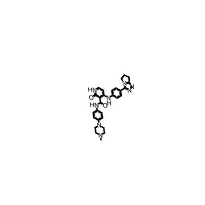 CN1CCN(c2ccc(NC(=O)c3c(Nc4ccc(-c5nnc6n5CCC6)cc4)cc[nH]c3=O)cc2)CC1